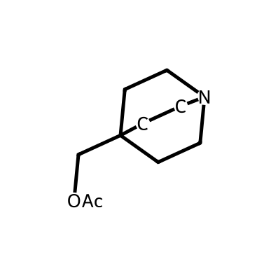 CC(=O)OCC12CCN(CC1)CC2